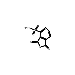 CCCCCS(=O)(=O)c1cccc2c1C(=O)NC2=O